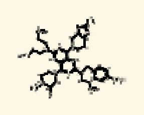 COCCN(CCOC)c1nc(N2CCc3oc(C)nc3C2)c2nc(N(CCOC)Cc3ccc(C(=O)O)cc3)nc(N3CCN(C)C(=O)C3)c2n1